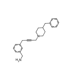 NCc1cccc(CC#CCN2CCC(Cc3ccccc3)CC2)c1